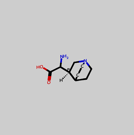 NC(C(=O)O)[C@H]1CN2CCC1CC2